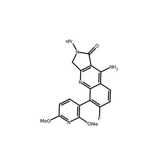 CCCN1Cc2nc3c(-c4ccc(OC)nc4OC)c(F)ccc3c(N)c2C1=O